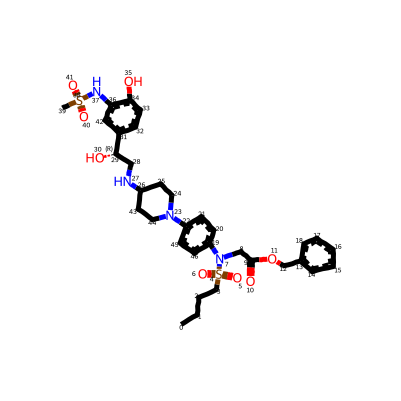 CCCCS(=O)(=O)N(CC(=O)OCc1ccccc1)c1ccc(N2CCC(NC[C@H](O)c3ccc(O)c(NS(C)(=O)=O)c3)CC2)cc1